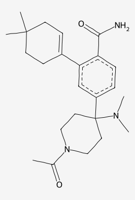 CC(=O)N1CCC(c2ccc(C(N)=O)c(C3=CCC(C)(C)CC3)c2)(N(C)C)CC1